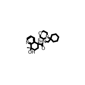 C[C@]1(O)CC[C@@](F)(C(=O)NCC2(N3CCOCC3)CCCCC2)c2cccnc21